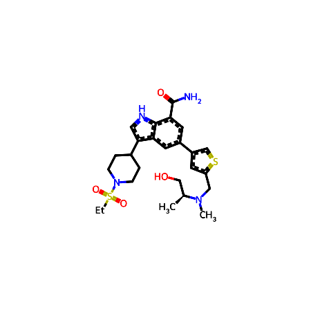 CCS(=O)(=O)N1CCC(c2c[nH]c3c(C(N)=O)cc(-c4csc(CN(C)[C@@H](C)CO)c4)cc23)CC1